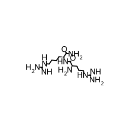 N=C(N)NCCCC[C@H](NC(=O)[C@H](N)CCCNC(=N)N)C(N)=O